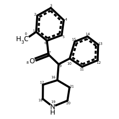 Cc1ccccc1C(=O)C(c1ccccc1)C1CCNCC1